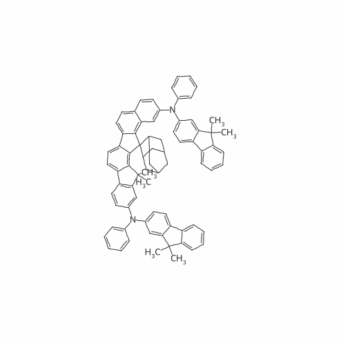 CC1(C)c2ccccc2-c2ccc(N(c3ccccc3)c3ccc4c(c3)C(C)(C)c3c-4ccc4c3C3(c5c-4ccc4ccc(N(c6ccccc6)c6ccc7c(c6)C(C)(C)c6ccccc6-7)cc54)C4CC5CC(C4)CC3C5)cc21